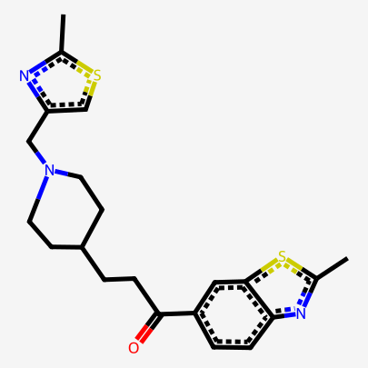 Cc1nc(CN2CCC(CCC(=O)c3ccc4nc(C)sc4c3)CC2)cs1